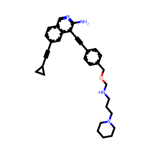 Nc1ncc2ccc(C#CC3CC3)cc2c1C#Cc1ccc(COCNCCCN2CCCCC2)cc1